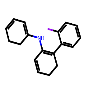 Ic1ccccc1C1=C(NC2=CC=CCC2)C=CCC1